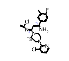 C=C(Cl)/N=C(\C=C(/N)c1ccc(F)c(C)c1)N1CCN(c2ncccc2Cl)C[C@@H]1C